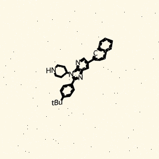 CC(C)(C)c1ccc(-c2nc3cc(-c4ccc5ccccc5c4)cnc3n2C2CCNCC2)cc1